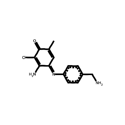 CC1=CC(=Nc2ccc(CN)cc2)C(N)=C(Cl)C1=O